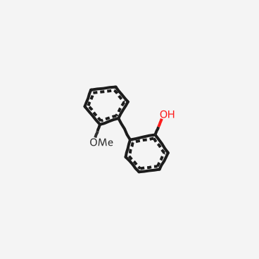 COc1ccccc1-c1ccccc1O